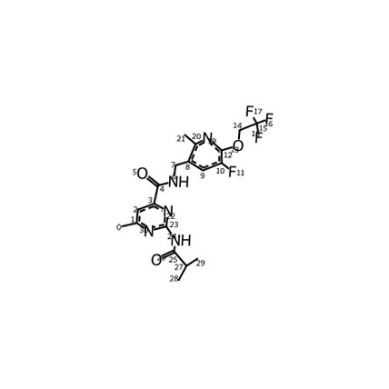 Cc1cc(C(=O)NCc2cc(F)c(OCC(F)(F)F)nc2C)nc(NC(=O)C(C)C)n1